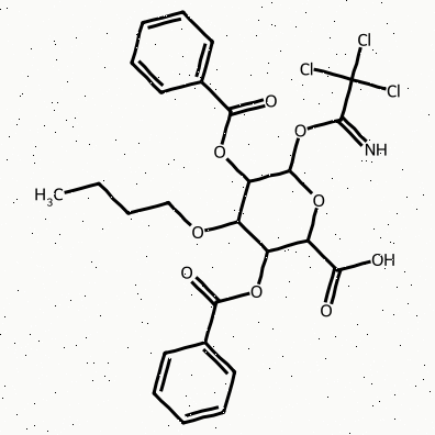 CCCCOC1C(OC(=O)c2ccccc2)C(OC(=N)C(Cl)(Cl)Cl)OC(C(=O)O)C1OC(=O)c1ccccc1